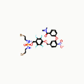 CN(C)C(=O)c1cccc(Oc2cc(COc3c(F)c(F)c(COP(=O)(NCCBr)NCCBr)c(F)c3F)ccc2[N+](=O)[O-])c1